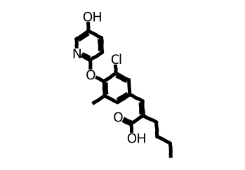 CCCCC(=Cc1cc(C)c(Oc2ccc(O)cn2)c(Cl)c1)C(=O)O